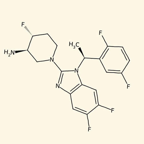 C[C@@H](c1cc(F)ccc1F)n1c(N2CC[C@@H](F)[C@H](N)C2)nc2cc(F)c(F)cc21